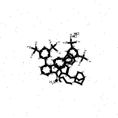 CC[CH2][Zr]([CH3])(=[SiH2])([CH]1C(CC23CCC(CC2)C3)=Cc2c(-c3cc(C(F)(F)F)cc(C(F)(F)F)c3)cccc21)[CH]1C(CC23CCC(CC2)C3)=Cc2c(-c3cc(C(F)(F)F)cc(C(F)(F)F)c3)cccc21.Cl.Cl